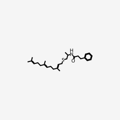 CC(C)=CCC/C(C)=C/CC/C(C)=C/CSCC(C)NC(=O)CCc1ccccc1